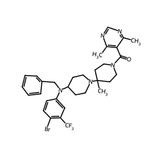 Cc1ncnc(C)c1C(=O)N1CCC(C)(N2CCC(N(Cc3ccccc3)c3ccc(Br)c(C(F)(F)F)c3)CC2)CC1